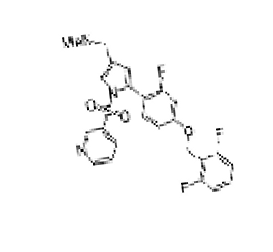 CNCc1cc(-c2ccc(OCc3c(F)cccc3F)cc2F)n(S(=O)(=O)c2cccnc2)c1